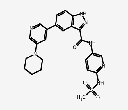 CS(=O)(=O)Nc1ccc(NC(=O)c2n[nH]c3ccc(-c4cncc(N5CCCCC5)c4)cc23)cn1